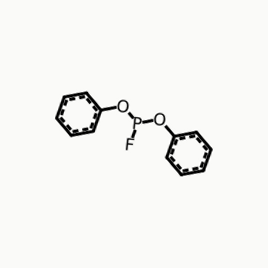 FP(Oc1ccccc1)Oc1ccccc1